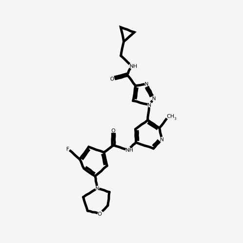 Cc1ncc(NC(=O)c2cc(F)cc(N3CCOCC3)c2)cc1-n1cc(C(=O)NCC2CC2)nn1